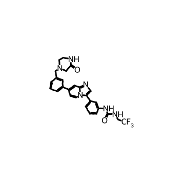 O=C1CN(Cc2cccc(-c3ccn4c(-c5cccc(NC(=O)NCC(F)(F)F)c5)cnc4c3)c2)CCN1